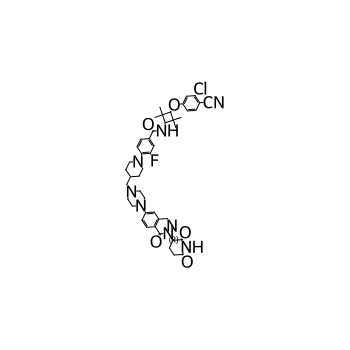 CC1(C)[C@H](NC(=O)c2ccc(N3CCC(CN4CCN(c5ccc6c(=O)n([C@@H]7CCC(=O)NC7=O)ncc6c5)CC4)CC3)c(F)c2)C(C)(C)[C@H]1Oc1ccc(C#N)c(Cl)c1